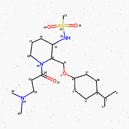 CC(C)C1CCC(OCC2C(NS(C)(=O)=O)CCCN2C(=O)CCN(C)C)CC1